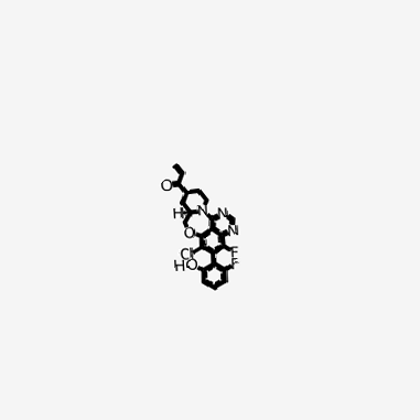 C=CC(=O)C1CCN2c3ncnc4c(F)c(-c5c(O)cccc5F)c(Cl)c(c34)OC[C@@H]2C1